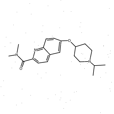 CC(C)N1CCC(Oc2ccc3nc(C(=O)N(C)C)ccc3c2)CC1